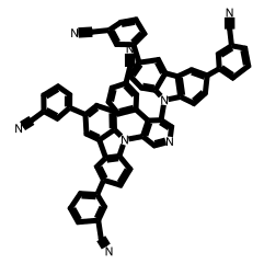 N#Cc1cccc(-c2ccc3c(c2)c2cc(-c4cccc(C#N)c4)ccc2n3-c2cncc(-n3c4ccc(-c5cccc(C#N)c5)cc4c4cc(-c5cccc(C#N)c5)ccc43)c2-c2cccc(C#N)c2)c1